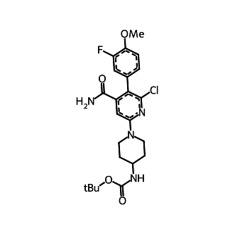 COc1ccc(-c2c(C(N)=O)cc(N3CCC(NC(=O)OC(C)(C)C)CC3)nc2Cl)cc1F